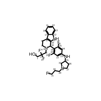 OCC(F)(F)CN1CCc2c([nH]c3ccccc23)C1c1c(F)cc(NC2CCN(CCCF)C2)cc1F